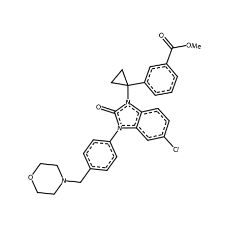 COC(=O)c1cccc(C2(n3c(=O)n(-c4ccc(CN5CCOCC5)cc4)c4cc(Cl)ccc43)CC2)c1